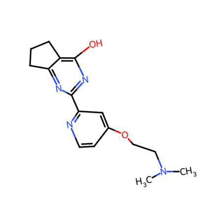 CN(C)CCOc1ccnc(-c2nc(O)c3c(n2)CCC3)c1